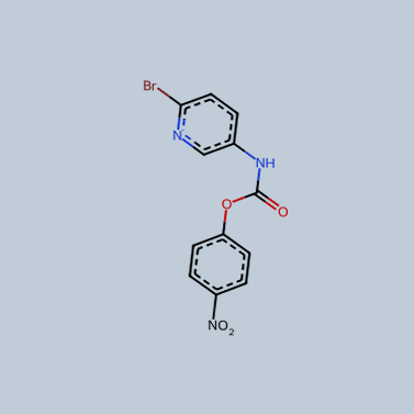 O=C(Nc1ccc(Br)nc1)Oc1ccc([N+](=O)[O-])cc1